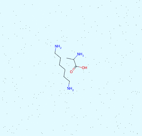 CC(N)C(=O)O.NCCCCCCN